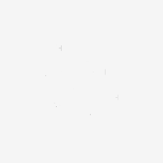 O=P(O)(O)OP(=O)(O)O.[Rh]